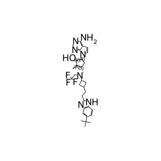 C[C@@H]1[C@@H](CN(CC(F)(F)F)C2CC(CCc3nc4cc(C(C)(C)C)ccc4[nH]3)C2)C[C@@H](n2ccc3c(N)ncnc32)[C@@H]1O